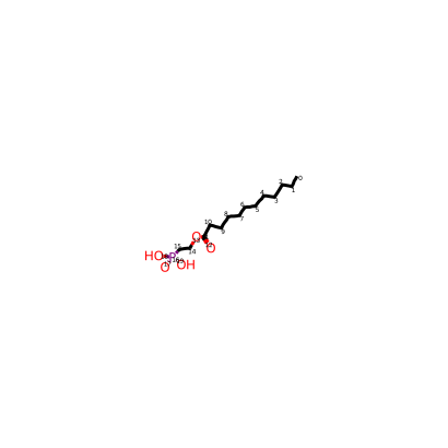 CCCCCCCCCCCC(=O)OCCP(=O)(O)O